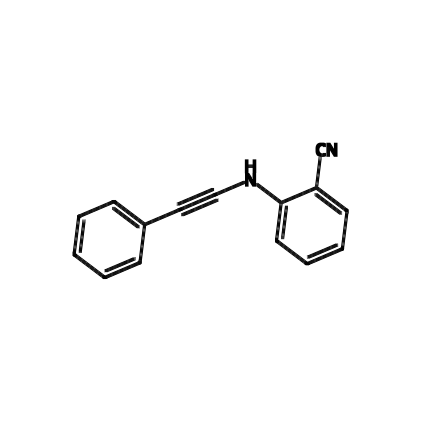 N#Cc1ccccc1NC#Cc1ccccc1